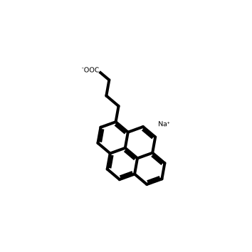 O=C([O-])CCCc1ccc2ccc3cccc4ccc1c2c34.[Na+]